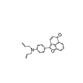 C=CCN(CC=C)c1ccc(-c2oc3cccc4c3c2C=CC4=O)cc1